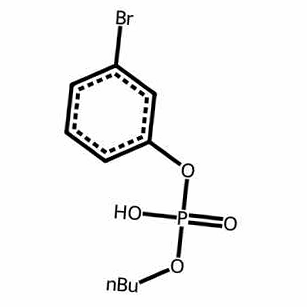 CCCCOP(=O)(O)Oc1cccc(Br)c1